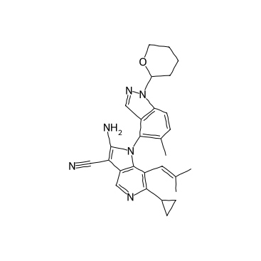 CC(C)=Cc1c(C2CC2)ncc2c(C#N)c(N)n(-c3c(C)ccc4c3cnn4C3CCCCO3)c12